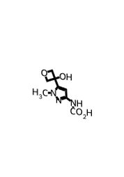 Cn1nc(NC(=O)O)cc1C1(O)COC1